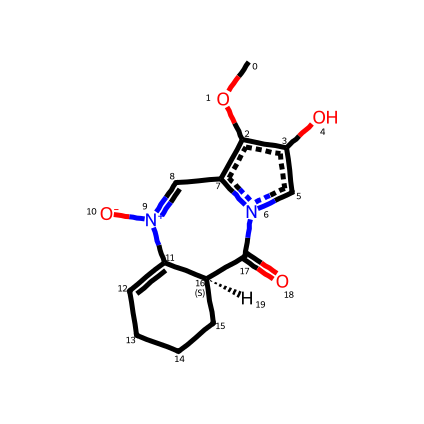 COc1c(O)cn2c1C=[N+]([O-])C1=CCCC[C@@H]1C2=O